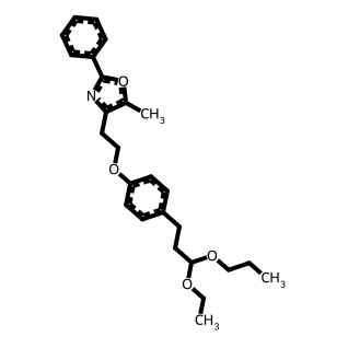 CCCOC(CCc1ccc(OCCc2nc(-c3ccccc3)oc2C)cc1)OCC